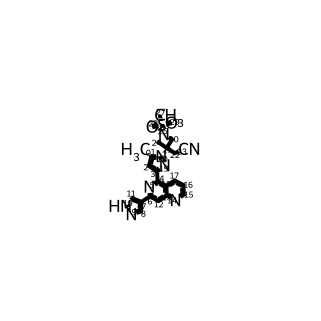 Cc1cc(-c2nc(-c3cn[nH]c3)cc3ncccc23)nn1C1(CC#N)CN(S(C)(=O)=O)C1